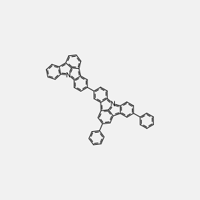 c1ccc(-c2ccc3c(c2)c2cc(-c4ccccc4)cc4c5cc(-c6ccc7c(c6)c6cccc8c9ccccc9n7c86)ccc5n3c24)cc1